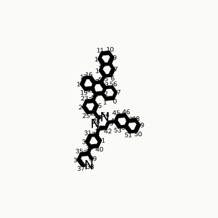 C1=Cc2c(c(-c3ccc4ccccc4c3)c3ccccc3c2-c2cccc(-c3nc(-c4ccc(-c5cccnc5)cc4)cc(-c4ccc5ccccc5c4)n3)c2)CC1